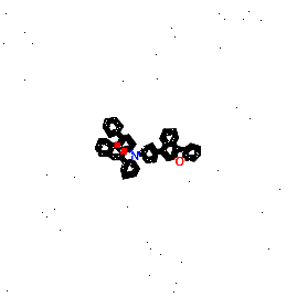 c1ccc(-c2ccc(N(c3ccc(-c4cc5oc6ccccc6c5c5ccccc45)cc3)c3ccccc3-c3ccc4ccccc4c3)cc2)cc1